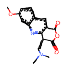 COc1ccc2cc3c(nc2c1)/C(=C/N(C)C)C(=O)OC3=O